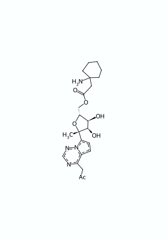 CC(=O)Cc1ncnn2c([C@]3(C)O[C@H](COC(=O)CC4(N)CCCCC4)[C@@H](O)[C@H]3O)ccc12